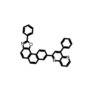 c1ccc(-c2nc3ccc4ccc5cc(-c6cc(-c7ccccc7)c7ncccc7n6)ccc5c4c3o2)cc1